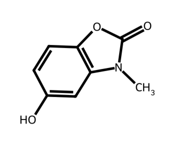 Cn1c(=O)oc2ccc(O)cc21